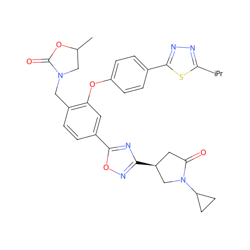 CC1CN(Cc2ccc(-c3nc([C@H]4CC(=O)N(C5CC5)C4)no3)cc2Oc2ccc(-c3nnc(C(C)C)s3)cc2)C(=O)O1